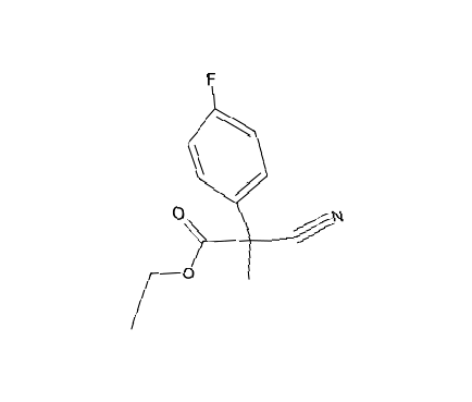 CCOC(=O)C(C)(C#N)c1ccc(F)cc1